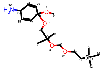 COC1(OCC(C)(C)OCOCC[Si](C)(C)C)C=CC(N)C=C1